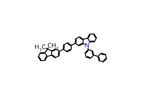 CC1(C)c2ccccc2-c2ccc(-c3ccc(-c4ccc5c6ccccc6n(-c6cccc(-c7ccccc7)c6)c5c4)cc3)cc21